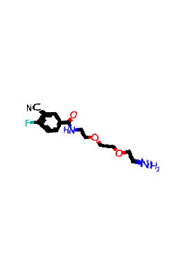 N#Cc1cc(C(=O)NCCOCCOCCN)ccc1F